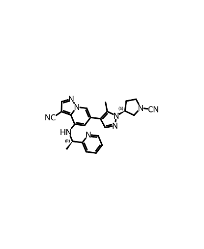 Cc1c(-c2cc(N[C@H](C)c3ccccn3)c3c(C#N)cnn3c2)cnn1[C@H]1CCN(C#N)C1